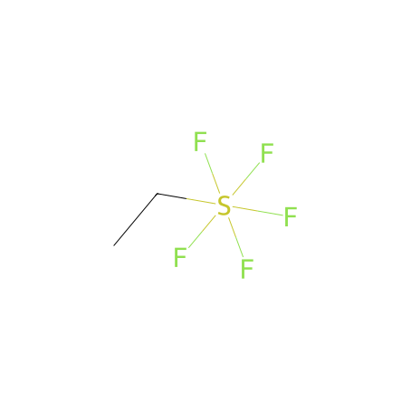 CCS(F)(F)(F)(F)F